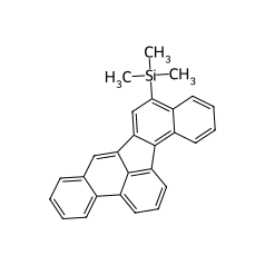 C[Si](C)(C)c1cc2c(c3ccccc13)-c1cccc3c1c-2cc1ccccc13